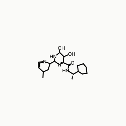 CC1C=C=NC(C2N=C(C(=O)N[C@H](C)C3CCCCC3)C(O)C(O)N2)C1